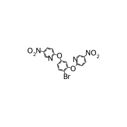 O=[N+]([O-])c1ccc(Oc2ccc(Br)c(Oc3ccc([N+](=O)[O-])cn3)c2)nc1